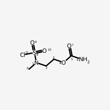 CN(CCOC(N)=O)S(=O)(=O)Cl